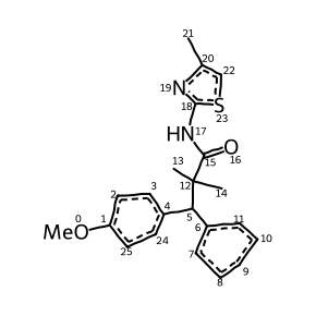 COc1ccc(C(c2ccccc2)C(C)(C)C(=O)Nc2nc(C)cs2)cc1